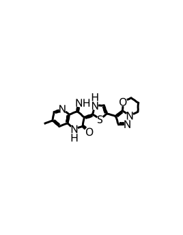 Cc1cnc2c(c1)NC(=O)/C(=C1/NC=C(c3cnn4c3OCCC4)S1)C2=N